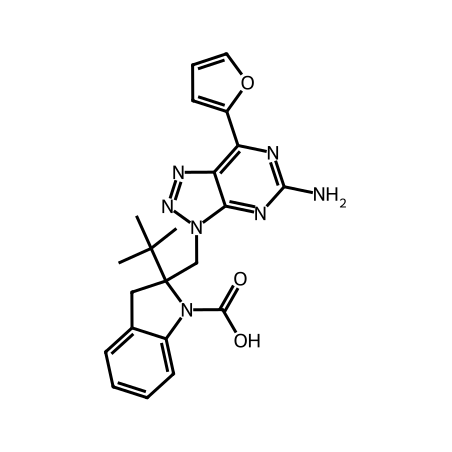 CC(C)(C)C1(Cn2nnc3c(-c4ccco4)nc(N)nc32)Cc2ccccc2N1C(=O)O